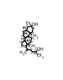 CC[C@]1(O)CC[C@@]2(C)[C@@H](CC[C@@H]3[C@@H]2CC[C@]2(C)[C@@H]([C@H](C)CC[C@@H](O)C(F)(F)F)CC[C@@H]32)C1